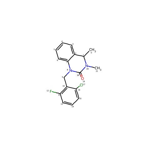 CC1c2ccccc2N(Cc2c(F)cccc2Cl)C(=O)N1C